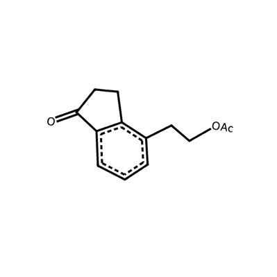 CC(=O)OCCc1cccc2c1CCC2=O